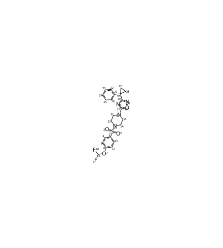 O=S(=O)(c1ccc(OC(F)F)cc1)N1CCN(c2nc(C3(c4ccccc4)CC3)no2)CC1